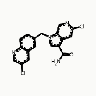 NC(=O)c1cn(Cc2ccc3ncc(Cl)cc3c2)c2cnc(Cl)cc12